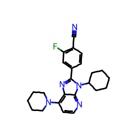 N#Cc1ccc(-c2nc3c(N4CCCCC4)ccnc3n2C2CCCCC2)cc1F